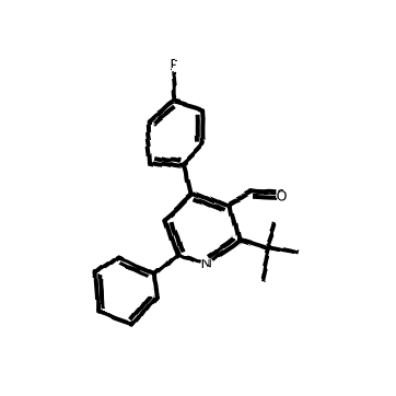 CC(C)(C)c1nc(-c2ccccc2)cc(-c2ccc(F)cc2)c1C=O